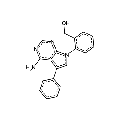 Nc1ncnc2c1c(-c1ccccc1)cn2-c1ccccc1CO